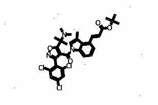 Cc1cn(C(=O)c2c(-c3c(Cl)cc(Cl)cc3Cl)noc2C(C)(C)N(C)C)c2cccc(/C=C/C(=O)OC(C)(C)C)c12